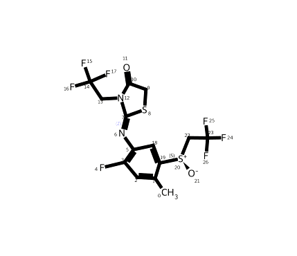 Cc1cc(F)c(/N=C2\SCC(=O)N2CC(F)(F)F)cc1[S@+]([O-])CC(F)(F)F